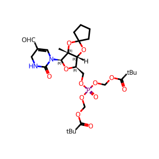 CC(C)(C)C(=O)OCOP(=O)(OCOC(=O)C(C)(C)C)OC[C@H]1O[C@@H](N2C=C(C=O)CNC2=O)[C@]2(C)OC3(CCCC3)O[C@H]12